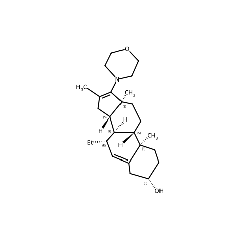 CC[C@H]1C=C2C[C@@H](O)CC[C@]2(C)[C@H]2CC[C@]3(C)C(N4CCOCC4)=C(C)C[C@H]3[C@H]12